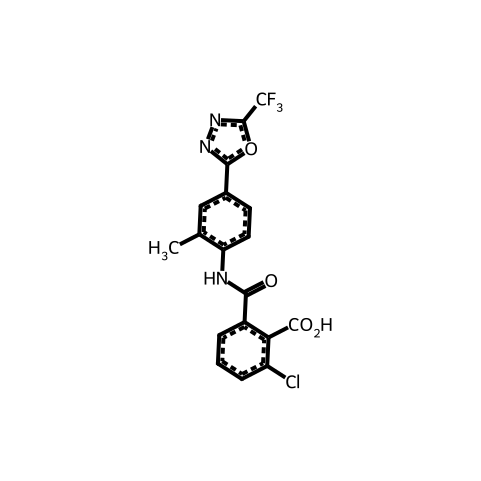 Cc1cc(-c2nnc(C(F)(F)F)o2)ccc1NC(=O)c1cccc(Cl)c1C(=O)O